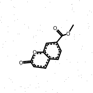 COC(=O)c1ccc2ccc(=O)oc2c1